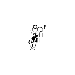 CC(C)(C)OC(=O)NS(=O)(=O)CC1(O)c2ccc(F)cc2OCC1(C)C